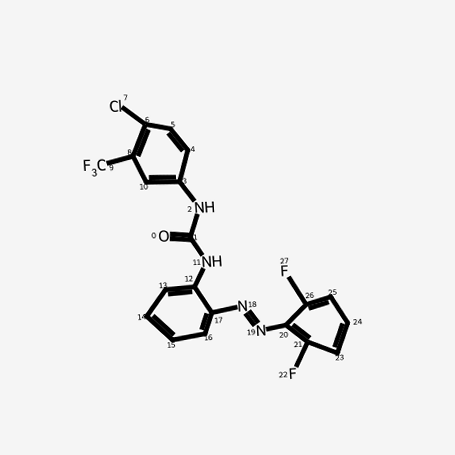 O=C(Nc1ccc(Cl)c(C(F)(F)F)c1)Nc1ccccc1N=Nc1c(F)cccc1F